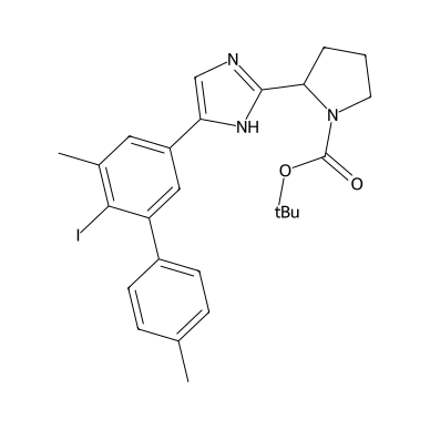 Cc1ccc(-c2cc(-c3cnc(C4CCCN4C(=O)OC(C)(C)C)[nH]3)cc(C)c2I)cc1